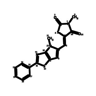 CN1C(=O)S/C(=C\c2cc3sc(-c4ccccc4)nc3n2C)C1=O